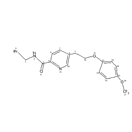 CC(C)CNC(=O)c1ccc(CCOc2ccc(OC(F)(F)F)cc2)cn1